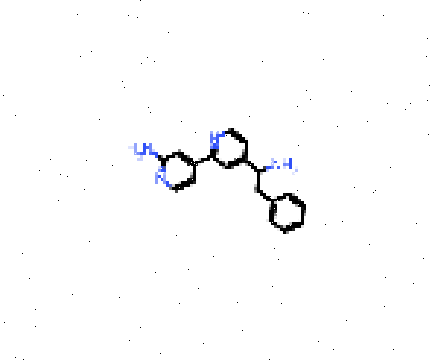 Nc1cc(-c2cc(C(N)Cc3ccccc3)ccn2)ccn1